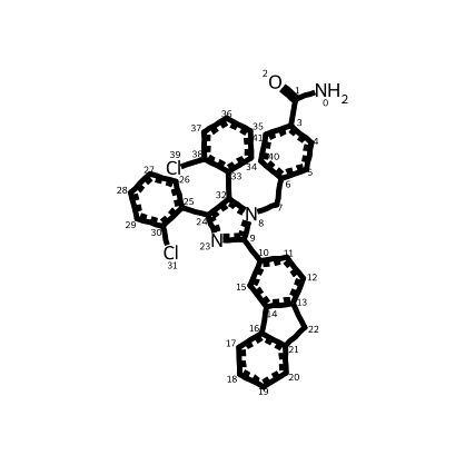 NC(=O)c1ccc(Cn2c(-c3ccc4c(c3)-c3ccccc3C4)nc(-c3ccccc3Cl)c2-c2ccccc2Cl)cc1